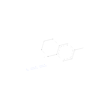 Cc1ccc2c(c1)CCC[C@H]2N=[N+]=[N-]